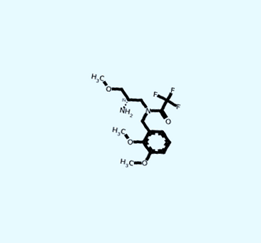 COC[C@@H](N)CN(Cc1cccc(OC)c1OC)C(=O)C(F)(F)F